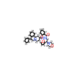 O=C(NCC(c1ccco1)N1CCOCC1)c1ccccc1OC1CCN(CC(c2ccccc2)c2ccccc2)CC1